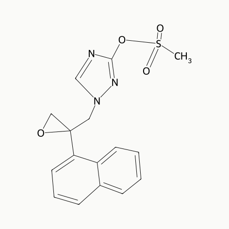 CS(=O)(=O)Oc1ncn(CC2(c3cccc4ccccc34)CO2)n1